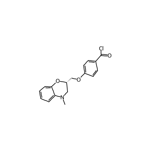 CN1C[C@@H](COc2ccc(C(=O)Cl)cc2)Oc2ccccc21